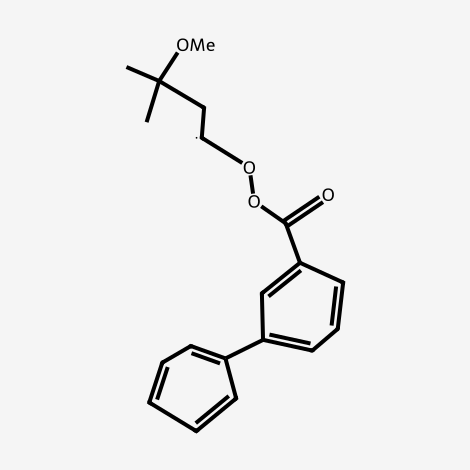 COC(C)(C)C[CH]OOC(=O)c1cccc(-c2ccccc2)c1